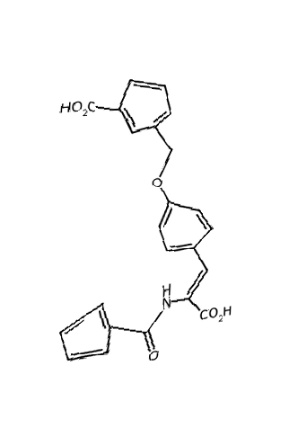 O=C(O)C(=Cc1ccc(OCc2cccc(C(=O)O)c2)cc1)NC(=O)c1ccccc1